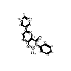 Nc1ncc(-c2cncnc2)nc1C(=O)N(N)c1ccccc1